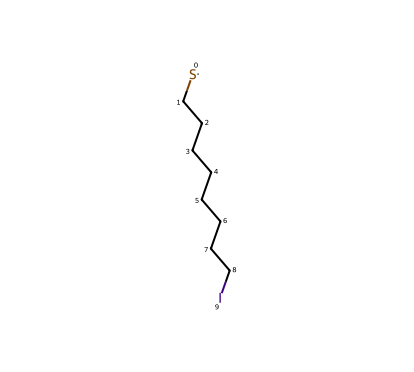 [S]CCCCCCCCI